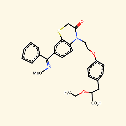 CON=C(c1ccccc1)c1ccc2c(c1)SCC(=O)N2CCOc1ccc(CC(OCC(F)(F)F)C(=O)O)cc1